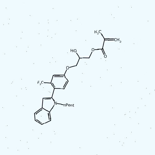 C=C(C)C(=O)OCC(O)COc1ccc(-c2cc3ccccc3n2CCCCC)c(C(F)(F)F)c1